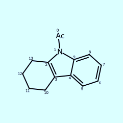 CC(=O)n1c2c(c3ccccc31)CCCC2